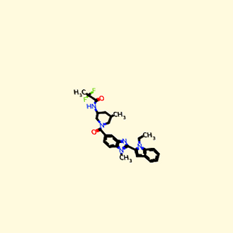 CCn1c(-c2nc3cc(C(=O)N4CC(C)CC(NC(=O)C(C)(F)F)C4)ccc3n2C)cc2ccccc21